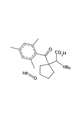 CCCCC(C(=O)O)C1(C(=O)c2c(C)cc(C)cc2C)CCCC1.O=P